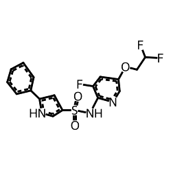 O=S(=O)(Nc1ncc(OCC(F)F)cc1F)c1c[nH]c(-c2ccccc2)c1